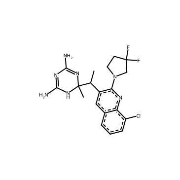 CC(c1cc2cccc(Cl)c2nc1N1CCC(F)(F)C1)C1(C)N=C(N)N=C(N)N1